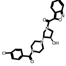 O=C(c1ccc(Cl)cc1)N1CCN([C@@H]2CN(C(=O)c3onc4ccccc34)C[C@H]2O)CC1